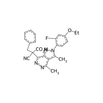 CCOc1ccc(-n2nc3c(C(C#N)(Cc4ccccc4)C(=O)O)nnc(C)c3c2C)c(F)c1